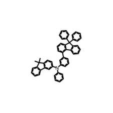 CC1(C)c2ccccc2-c2cc(N(c3ccccc3)c3cccc(-c4cccc5c4-c4ccccc4C5(c4ccccc4)c4ccccc4)c3)ccc21